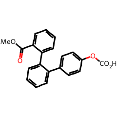 COC(=O)c1ccccc1-c1ccccc1-c1ccc(OC(=O)O)cc1